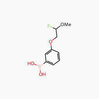 COC(F)COc1cccc(B(O)O)c1